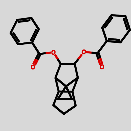 O=C(OC1C(OC(=O)c2ccccc2)C2C3CCCC3C1C21CC1)c1ccccc1